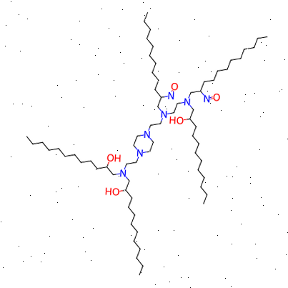 CCCCCCCCCCC(O)CN(CCN1CCN(CCN(CCN(CC(O)CCCCCCCCCC)CC(CCCCCCCCCC)N=O)CC(CCCCCCCCCC)N=O)CC1)CC(O)CCCCCCCCCC